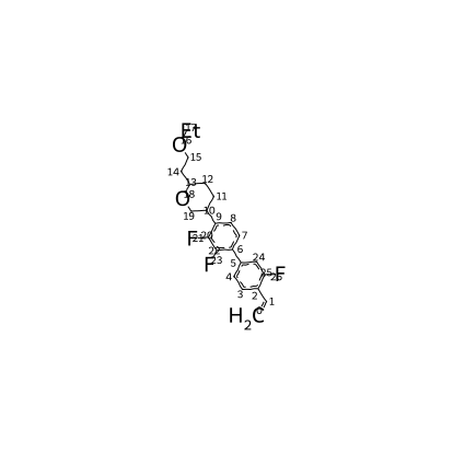 C=Cc1ccc(-c2ccc(C3CCC(CCOCC)OC3)c(F)c2F)cc1F